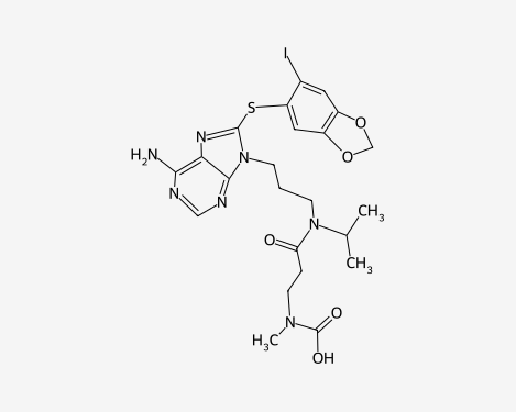 CC(C)N(CCCn1c(Sc2cc3c(cc2I)OCO3)nc2c(N)ncnc21)C(=O)CCN(C)C(=O)O